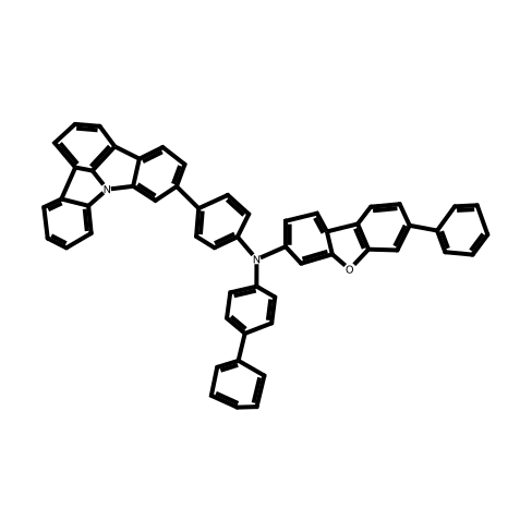 c1ccc(-c2ccc(N(c3ccc(-c4ccc5c6cccc7c8ccccc8n(c5c4)c76)cc3)c3ccc4c(c3)oc3cc(-c5ccccc5)ccc34)cc2)cc1